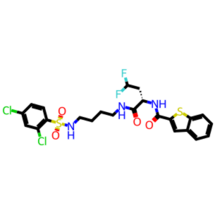 O=C(N[C@@H](CC(F)F)C(=O)NCCCCNS(=O)(=O)c1ccc(Cl)cc1Cl)c1cc2ccccc2s1